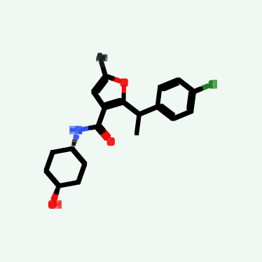 CC(=O)c1cc(C(=O)N[C@H]2CC[C@H](O)CC2)c(C(C)c2ccc(Cl)cc2)o1